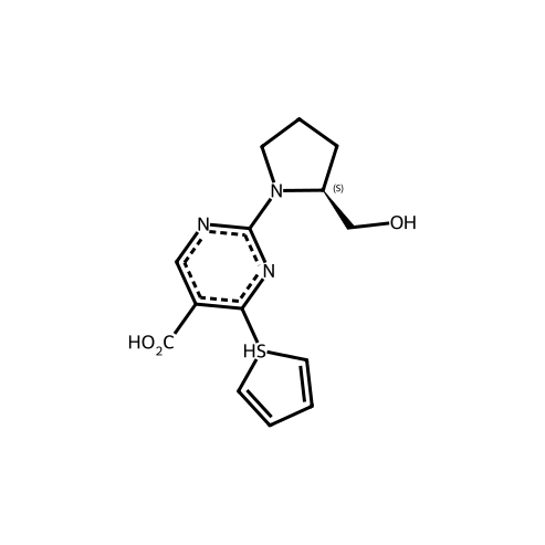 O=C(O)c1cnc(N2CCC[C@H]2CO)nc1[SH]1C=CC=C1